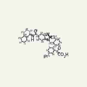 CC(C)c1cccc(C(Oc2ccc(Cl)c(Cn3nnc4cc(C(=O)NC5CCCc6ccccc65)ccc43)c2)C(=O)O)c1